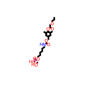 CCCOCC(=O)Oc1c(C)cc(COC(=O)NCCCCCCOP(=O)(O)CO)cc1C